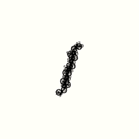 COc1cc(OCCC(C)OC)ccc1C(=O)Oc1ccc(C(=O)Oc2ccc(OC(=O)c3ccc(OC(=O)c4ccc(OCCC(C)OC)cc4OC)cc3)c(C)c2C)cc1